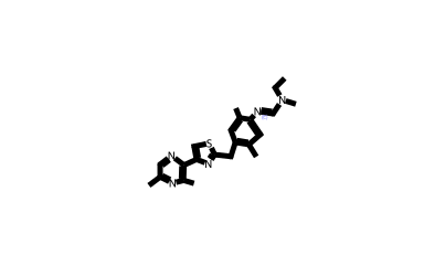 CCN(C)/C=N/c1cc(C)c(Cc2nc(-c3ncc(C)nc3C)cs2)cc1C